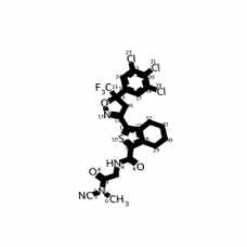 CN(C#N)C(=O)CNC(=O)c1sc(C2=NOC(c3cc(Cl)c(Cl)c(Cl)c3)(C(F)(F)F)C2)c2c1CCCC2